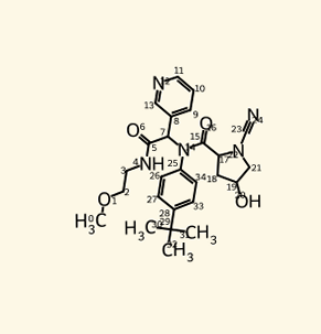 COCCNC(=O)C(c1cccnc1)N(C(=O)C1CC(O)CN1C#N)c1ccc(C(C)(C)C)cc1